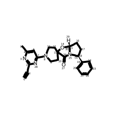 C#Cc1nc(C)cc(N2CCC3(CC2)O[C@@H]2CC[C@@H](c4ccccc4)N2C3=O)n1